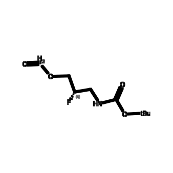 CC(C)(C)OC(=O)NC[C@H](F)CO[PH2]=O